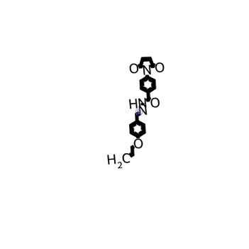 C=CCOc1ccc(/C=N/NC(=O)c2ccc(N3C(=O)C=CC3=O)cc2)cc1